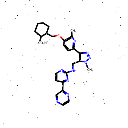 Cc1nc(-c2nnn(C)c2CNc2nccc(-c3cnccn3)n2)ccc1OCC1CCCCC1C(=O)O